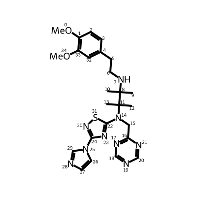 COc1ccc(CCNC(C)(C)C(C)(C)N(Cc2ncncn2)c2nc(-n3ccnc3)ns2)cc1OC